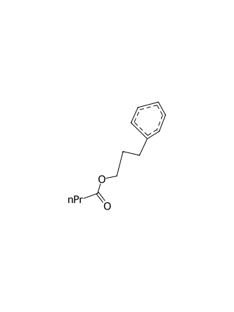 CCCC(=O)OCCCc1ccccc1